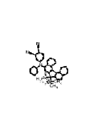 C[Si](C)(C)C1([Si](C)(C)C)c2ccc3ccccc3c2-c2c1cc(N(c1ccccc1)c1ccc(C#N)c(C#N)c1)c1ccccc21